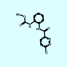 CC(C)(C)OC(=O)Nc1ccccc1NC(=O)c1ccc(Cl)nn1